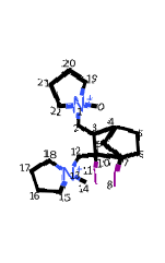 C[N+]1(CC2C3CCC(I)(C3)C2(I)C[N+]2(C)CCCC2)CCCC1